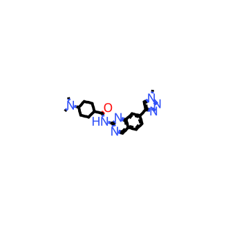 CN(C)C1CCC(C(=O)Nc2ncc3ccc(-c4cn(C)nn4)cc3n2)CC1